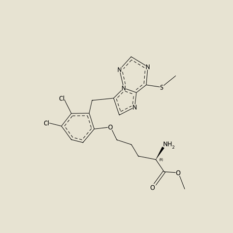 COC(=O)[C@H](N)CCCOc1ccc(Cl)c(Cl)c1Cc1cnc2c(SC)ncnn12